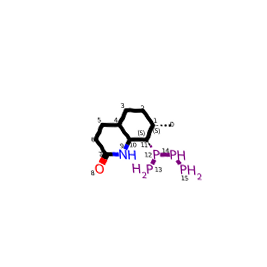 C[C@H]1CCC2CCC(=O)NC2[C@H]1P(P)PP